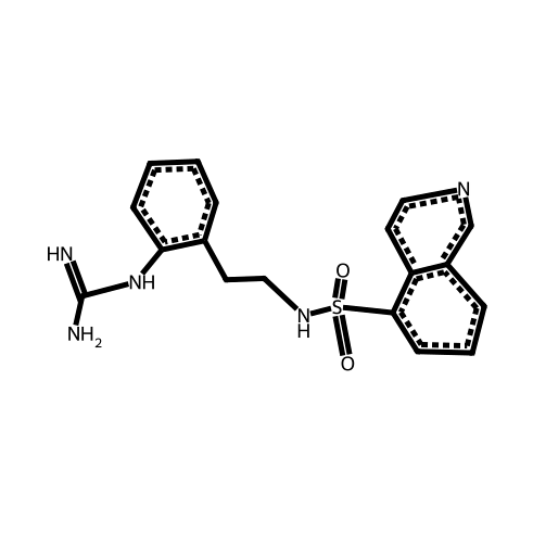 N=C(N)Nc1ccccc1CCNS(=O)(=O)c1cccc2cnccc12